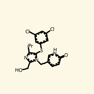 CC(C)c1nc(CO)n(Cc2ccc(=O)[nH]c2)c1Sc1cc(Cl)cc(Cl)c1